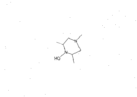 CC1CN(C)CC(C)N1O